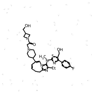 CCc1nc2n(c1N(C)c1nc(-c3ccc(F)cc3)c(CO)s1)/C=C(C1CCN(CC(=O)N3CC(CO)C3)CC1)\C=C/CC2